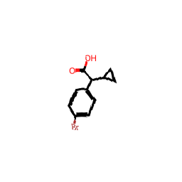 O=C(O)C(c1ccc(Br)cc1)C1CC1